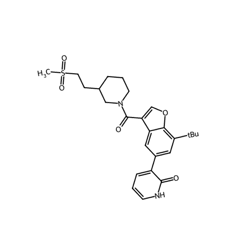 CC(C)(C)c1cc(-c2ccc[nH]c2=O)cc2c(C(=O)N3CCCC(CCS(C)(=O)=O)C3)coc12